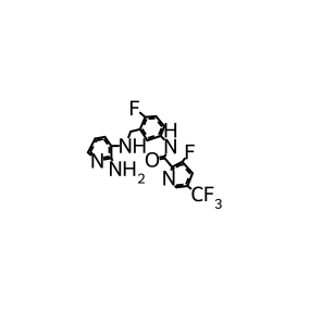 Nc1ncccc1NCc1cc(NC(=O)c2ncc(C(F)(F)F)cc2F)ccc1F